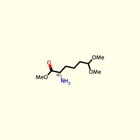 COC(=O)[C@@H](N)CCCC(OC)OC